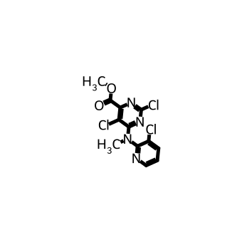 COC(=O)c1nc(Cl)nc(N(C)c2ncccc2Cl)c1Cl